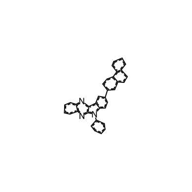 c1ccc(-n2c3ccc(-c4ccc5c(ccc6ccccc65)c4)cc3c3nc4ccccc4nc32)cc1